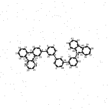 c1cc(-c2cccc(-c3ccc4c5ccccc5c5nccnc5c4c3)c2)cc(-c2cccc(-n3c4ccccc4c4ccccc43)c2)c1